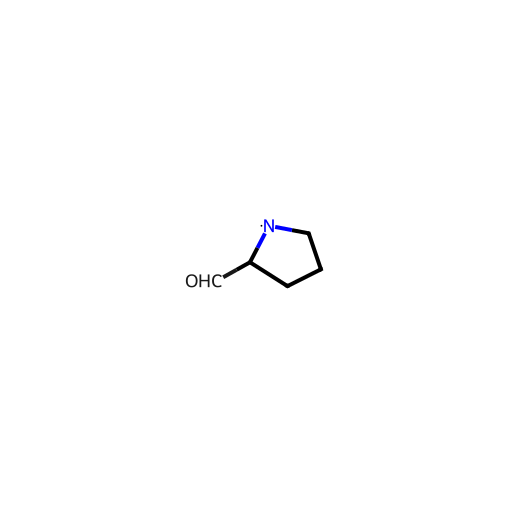 O=CC1CCC[N]1